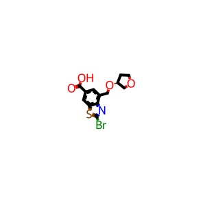 O=C(O)c1cc(CO[C@@H]2CCOC2)c2nc(Br)sc2c1